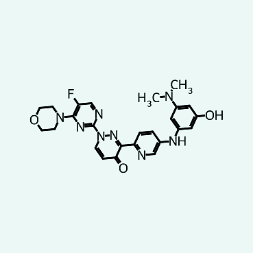 CN(C)c1cc(O)cc(Nc2ccc(-c3nn(-c4ncc(F)c(N5CCOCC5)n4)ccc3=O)nc2)c1